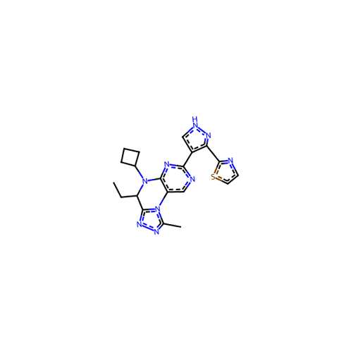 CCC1c2nnc(C)n2-c2cnc(-c3c[nH]nc3-c3nccs3)nc2N1C1CCC1